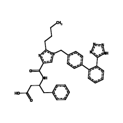 CCCCc1nc(C(=O)NC(CC(=O)O)Cc2ccccc2)cn1Cc1ccc(-c2ccccc2-c2nnn[nH]2)cc1